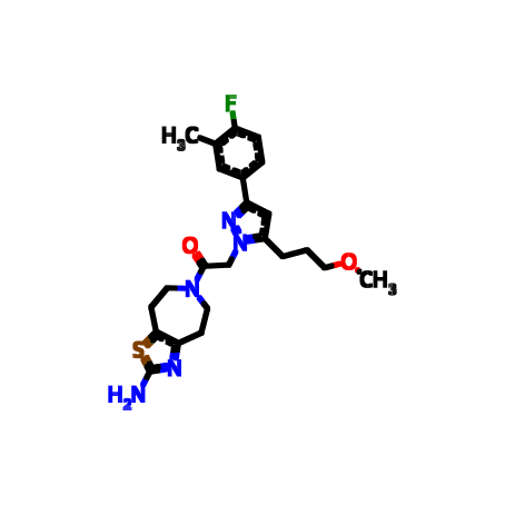 COCCCc1cc(-c2ccc(F)c(C)c2)nn1CC(=O)N1CCc2nc(N)sc2CC1